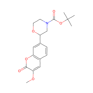 COc1cc2ccc(C3CN(C(=O)OC(C)(C)C)CCO3)cc2oc1=O